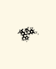 Cc1nn(C)c2nc(C(CN)C3CCCC3)c(CN(Cc3cc(C(F)(F)F)cc(C(F)(F)F)c3)c3nnn(C)n3)cc12